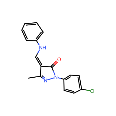 CC1=NN(c2ccc(Cl)cc2)C(=O)C1=CNc1ccccc1